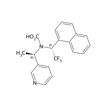 C[C@H](c1cccnc1)N(C(=O)O)[C@H](c1cccc2ccccc12)C(F)(F)F